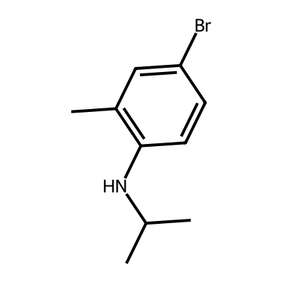 Cc1cc(Br)ccc1NC(C)C